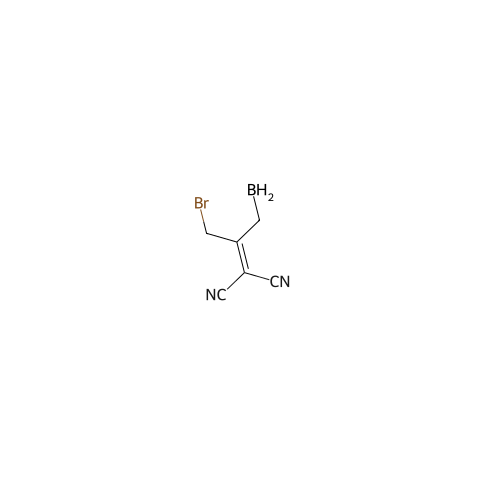 BCC(CBr)=C(C#N)C#N